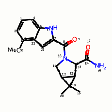 COc1cccc2[nH]c(C(=O)N3CC4C(C3C(N)=O)C4(C)C)cc12